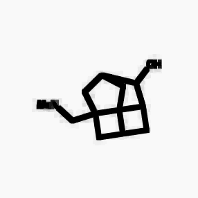 CNCC12CC3CC14C(CC4C3O)C2